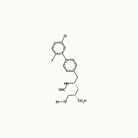 CCOC[C@H](C[C@@H](Cc1ccc(-c2cc(Cl)ccc2F)cc1)NC=O)C(=O)O